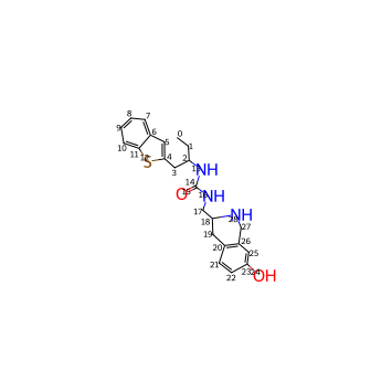 CCC(Cc1cc2ccccc2s1)NC(=O)NCC1Cc2ccc(O)cc2CN1